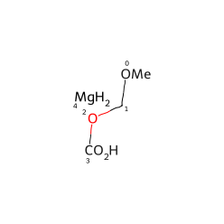 COCOC(=O)O.[MgH2]